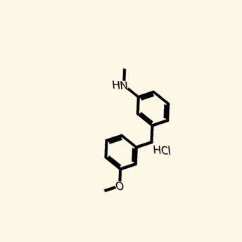 CNc1cccc(Cc2cccc(OC)c2)c1.Cl